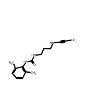 CC#CNCCCNC(=O)Nc1c(C)cccc1C